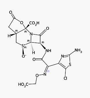 Nc1nc(/C(=N/OCC(=O)O)C(=O)N[C@@H]2C(=O)N3[C@@H]2[S@@+]([O-])C[C@@H]2CC(=O)O[C@@]23C(=O)O)c(Cl)s1